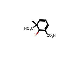 CC1(C(=O)O)C=CC=C(C(=O)O)C1Br